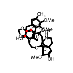 COc1cc2c(cc1O)CCNC21CC2(OC(C)=O)OC3c4c2cc2c(c4C(COC1=O)N1C(O)C4Cc5cc(C)c(OC)c(OC)c5C(C31)N4C)OCO2